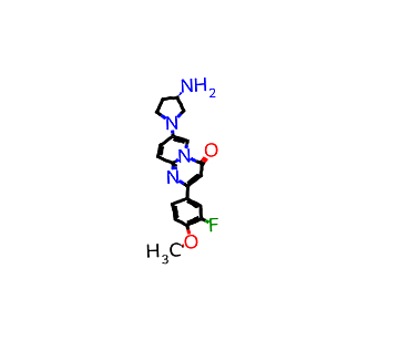 COc1ccc(-c2cc(=O)n3cc(N4CC[C@H](N)C4)ccc3n2)cc1F